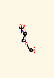 CCC(CC)(CC(=O)Nc1cccc(/C=C/c2cccc(COCCCCc3ccc(OC)c(OC)c3)n2)c1)C(=O)O